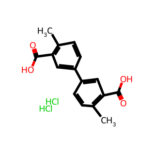 Cc1ccc(-c2ccc(C)c(C(=O)O)c2)cc1C(=O)O.Cl.Cl